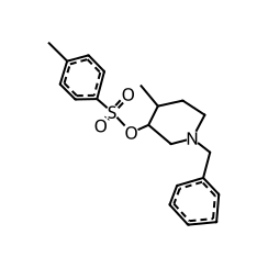 Cc1ccc(S(=O)(=O)OC2CN(Cc3ccccc3)CCC2C)cc1